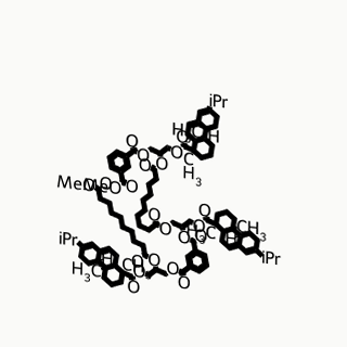 COC(=O)CCCCCCCCC(=O)OC(COC(=O)c1cccc(C(=O)OC(COC(=O)CCCCCCCCC(=O)OC(COC(=O)c2cccc(C(=O)OC)c2)COC(=O)[C@]2(C)CCC[C@@]3(C)C2CC=C2C=C(C(C)C)CC[C@@H]23)COC(=O)[C@]2(C)CCC[C@@]3(C)C2CC=C2C=C(C(C)C)CC[C@@H]23)c1)COC(=O)[C@]1(C)CCC[C@@]2(C)C1CC=C1C=C(C(C)C)CC[C@@H]12